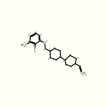 C=CC1CCC(C2CCC(COc3cccc(C)c3F)CC2)CC1